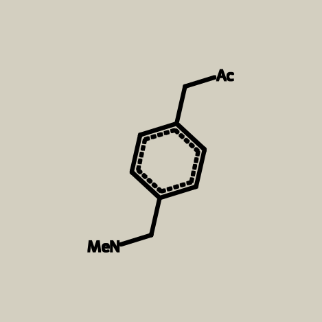 CNCc1ccc(CC(C)=O)cc1